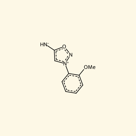 COc1ccccc1-[n+]1cc([NH-])on1